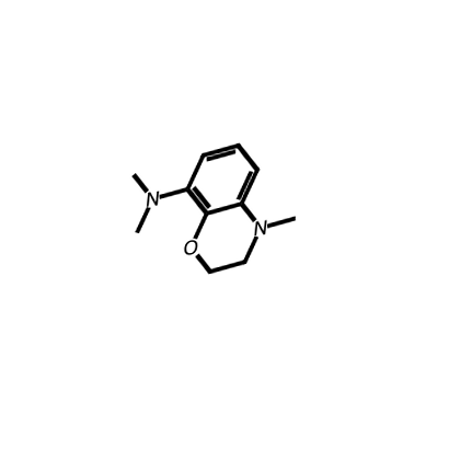 CN(C)c1cccc2c1OCCN2C